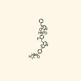 CNC(=O)c1ccc(-c2cc3nccc(Cc4ccc(NC(=O)c5nccn(Cc6ccccc6)c5=O)cc4F)c3s2)cc1